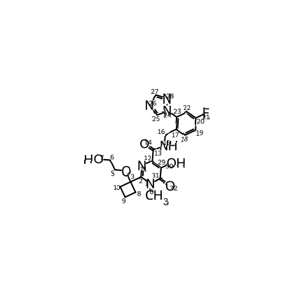 Cn1c(C2(OCCO)CCC2)nc(C(=O)NCc2ccc(F)cc2-n2cncn2)c(O)c1=O